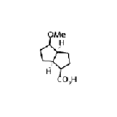 COC1CC[C@@H]2C(C(=O)O)CC[C@H]12